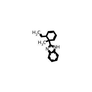 C=CC1C=CC=CC1(C)c1nc2ccccc2[nH]1